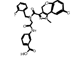 Cn1nc(C(=O)N(CC(=O)Nc2cccc(C(=O)O)c2)Cc2ccccc2F)c2c1-c1cc(Cl)ccc1OC2